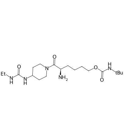 CCNC(=O)NC1CCN(C(=O)[C@H](N)CCCCOC(=O)NC(C)(C)C)CC1